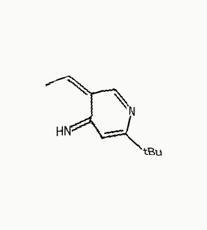 C/C=C1/C=NC(C(C)(C)C)=CC1=N